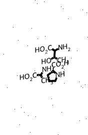 CC(N)C(=O)O.CC(O)C(N)C(=O)O.O=C(O)[C@@H]1CCCN1